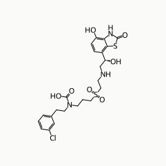 O=C(O)N(CCCS(=O)(=O)CCNC[C@H](O)c1ccc(O)c2[nH]c(=O)sc12)CCc1cccc(Cl)c1